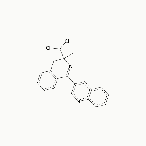 CC1(C(Cl)Cl)Cc2ccccc2C(c2cnc3ccccc3c2)=N1